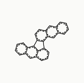 c1ccc2cc3c4c(ccc3cc2c1)-c1c2ccccc2cc2cccc-4c12